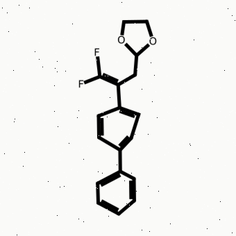 FC(F)=C(CC1OCCO1)c1ccc(-c2ccccc2)cc1